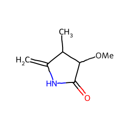 C=C1NC(=O)C(OC)C1C